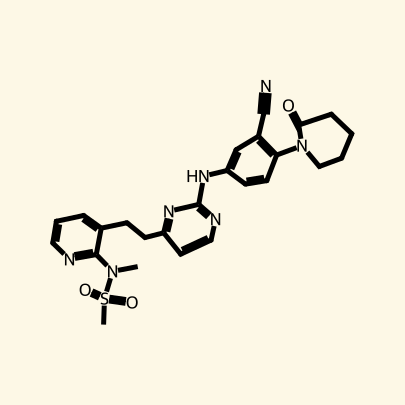 CN(c1ncccc1CCc1ccnc(Nc2ccc(N3CCCCC3=O)c(C#N)c2)n1)S(C)(=O)=O